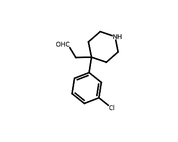 O=CCC1(c2cccc(Cl)c2)CCNCC1